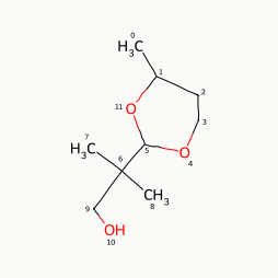 CC1CCOC(C(C)(C)CO)O1